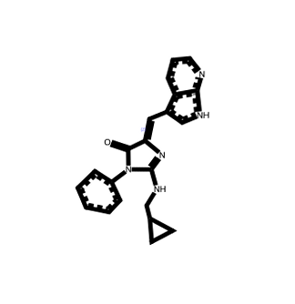 O=C1/C(=C/c2c[nH]c3ncccc23)N=C(NCC2CC2)N1c1ccccc1